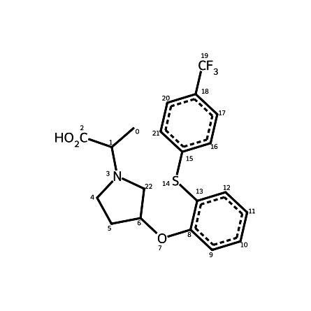 CC(C(=O)O)N1CCC(Oc2ccccc2Sc2ccc(C(F)(F)F)cc2)C1